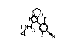 N#Cc1cc(F)c(-c2c(C(=O)NC3CC3)nn3c2OCCC3)cc1F